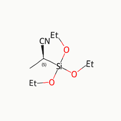 CCO[Si](OCC)(OCC)[C@@H](C)C#N